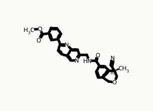 COC(=O)c1cccc(-c2ccc3cnc(CNC(=O)c4ccc5c(c4)[C@](C)(C#N)COC5)cc3n2)c1